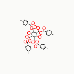 Cc1ccc(C(=O)OC(=O)C2=C(C(=O)OC(=O)c3ccc(C)cc3)C(=O)C(C(=O)OC(=O)c3ccc(C)cc3)=C(C(=O)OC(=O)c3ccc(C)cc3)C2=O)cc1